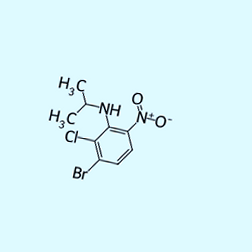 CC(C)Nc1c([N+](=O)[O-])ccc(Br)c1Cl